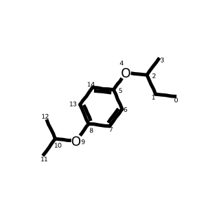 CCC(C)Oc1ccc(OC(C)C)cc1